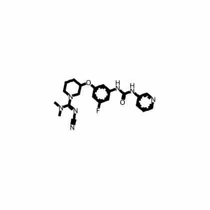 CN(C)C(=NC#N)N1CCCC(Oc2cc(F)cc(NC(=O)Nc3cccnc3)c2)C1